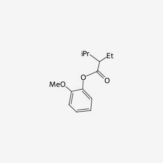 CCC(C(=O)Oc1ccccc1OC)C(C)C